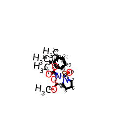 COC(=O)[C@@H]1CCCN1[S@](=O)(=NC(=O)OC(C)(C)C)c1ccc(C)cc1